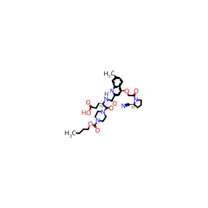 CCCCOC(=O)N1CCN(C(=O)[C@H](CCC(=O)O)NC(=O)c2cc(OCC(=O)N3CCC[C@H]3C#N)c3ccc(C)cc3n2)CC1